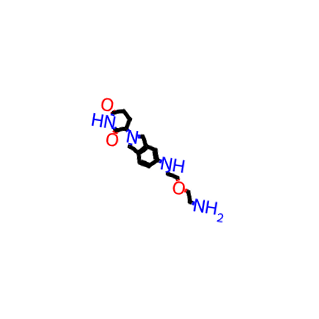 NCCOCCNc1ccc2c(c1)CN(C1CCC(=O)NC1=O)C2